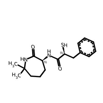 CC1(C)CCC[C@H](NC(=O)[C@@H](S)Cc2ccccc2)C(=O)N1